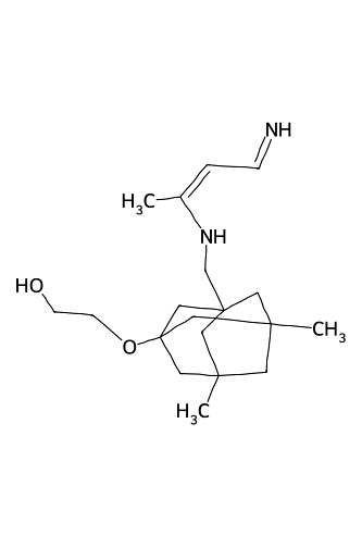 C/C(=C/C=N)NCC12CC3(C)CC(C)(C1)CC(OCCO)(C3)C2